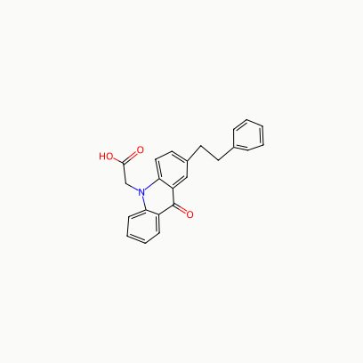 O=C(O)Cn1c2ccccc2c(=O)c2cc(CCc3ccccc3)ccc21